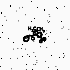 CC1(C)CN(C(=O)CN2CCCCC2)c2cc([N+](=O)[O-])ccc21